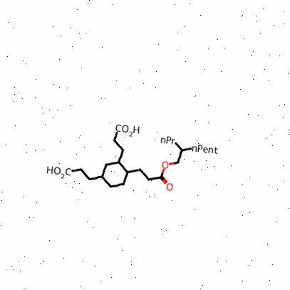 CCCCCC(CCC)COC(=O)CCC1CCC(CCC(=O)O)CC1CCC(=O)O